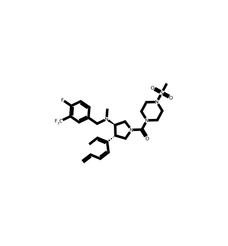 C=C/C=C\C(=C/C)[C@H]1CN(C(=O)N2CCN(S(C)(=O)=O)CC2)C[C@@H]1N(C)Cc1ccc(F)c(C(F)(F)F)c1